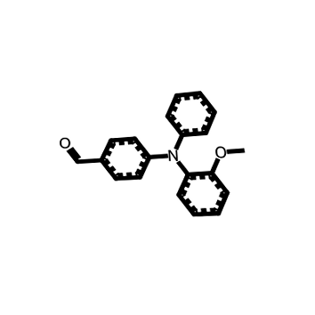 COc1ccccc1N(c1ccccc1)c1ccc(C=O)cc1